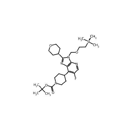 CC(C)(C)OC(=O)N1CCC(c2c(F)cnc3c2nc(C2CCOCC2)n3COCC[Si](C)(C)C)CC1